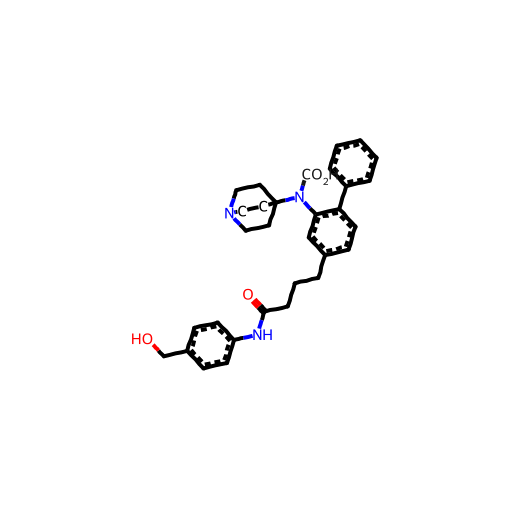 O=C(CCCc1ccc(-c2ccccc2)c(N(C(=O)O)C23CCN(CC2)CC3)c1)Nc1ccc(CO)cc1